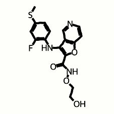 CSc1ccc(Nc2c(C(=O)NOCCO)oc3ccncc23)c(F)c1